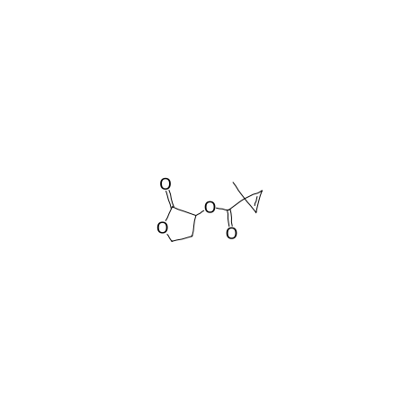 CC1(C(=O)OC2CCOC2=O)C=C1